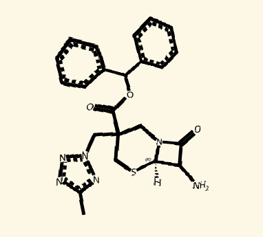 Cc1nnn(CC2(C(=O)OC(c3ccccc3)c3ccccc3)CS[C@@H]3C(N)C(=O)N3C2)n1